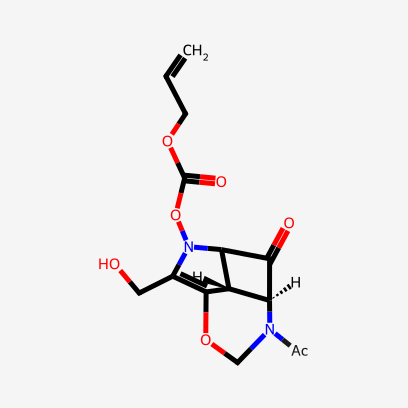 C=CCOC(=O)ON1C(CO)=C2OCN(C(C)=O)[C@@H]3C(=O)C1[C@@H]23